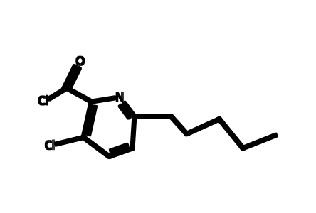 CCCCCc1ccc(Cl)c(C(=O)Cl)n1